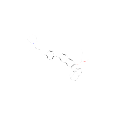 CCOC(OC)Oc1cc2ccc(-c3ccc(OCCN4CCOCC4)cc3)cc2cc1C12CC3CC(CC(C3)C1)C2